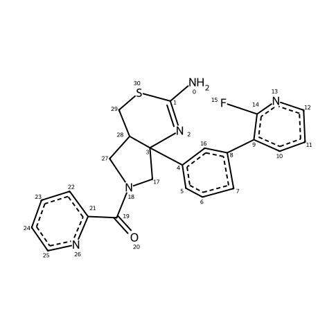 NC1=NC2(c3cccc(-c4cccnc4F)c3)CN(C(=O)c3ccccn3)CC2CS1